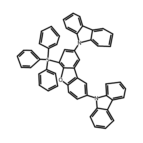 c1ccc(S(c2ccccc2)(c2ccccc2)c2cc(-n3c4ccccc4c4ccccc43)cc3c2oc2ccc(-n4c5ccccc5c5ccccc54)cc23)cc1